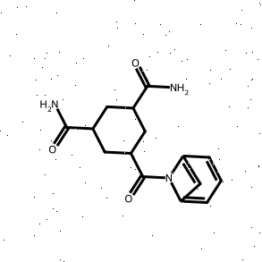 NC(=O)C1CC(C(N)=O)CC(C(=O)N2C3=CC=CC2=C3)C1